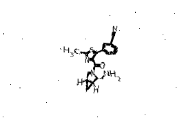 Cc1nc(C(=O)N2C[C@H]3C[C@H]3[C@H]2CN)c(-c2cccc(C#N)c2)s1